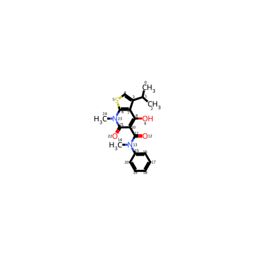 CC(C)c1csc2c1c(O)c(C(=O)N(C)c1ccccc1)c(=O)n2C